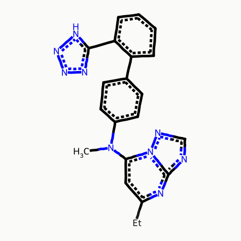 CCc1cc(N(C)c2ccc(-c3ccccc3-c3nnn[nH]3)cc2)n2ncnc2n1